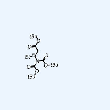 CC[C@H](CC(=O)OC(C)(C)C)N(C(=O)OC(C)(C)C)C(=O)OC(C)(C)C